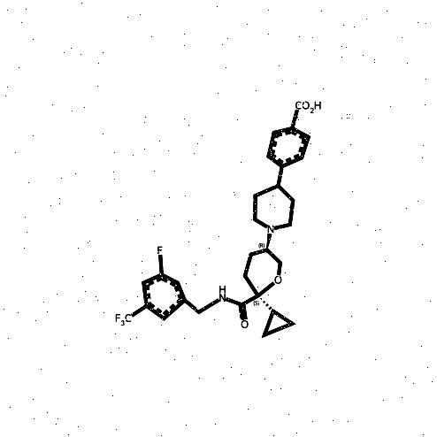 O=C(O)c1ccc(C2CCN([C@@H]3CC[C@@](C(=O)NCc4cc(F)cc(C(F)(F)F)c4)(C4CC4)OC3)CC2)cc1